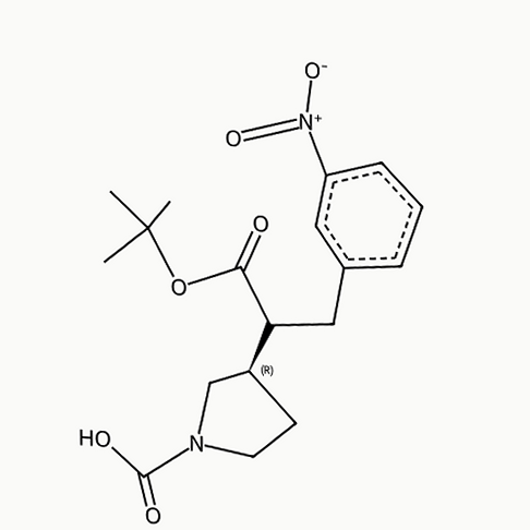 CC(C)(C)OC(=O)C(Cc1cccc([N+](=O)[O-])c1)[C@H]1CCN(C(=O)O)C1